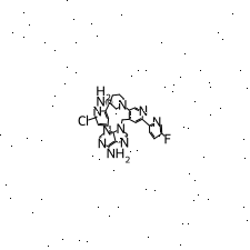 Nc1ncnc2c1ncn2Cc1cc(-c2ccc(F)cn2)ncc1N1CCC[C@](N)(c2cccc(Cl)n2)C1